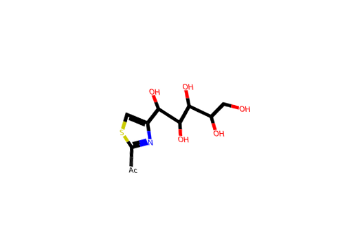 CC(=O)c1nc(C(O)C(O)C(O)C(O)CO)cs1